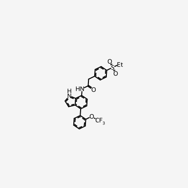 CCS(=O)(=O)c1ccc(CC(=O)Nc2ccc(-c3ccccc3OC(F)(F)F)c3cc[nH]c23)cc1